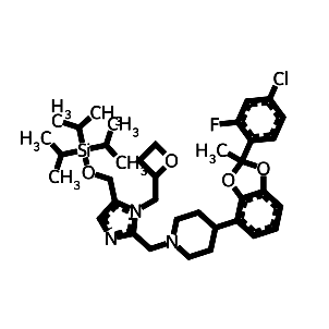 CC(C)[Si](OCc1cnc(CN2CCC(c3cccc4c3OC(C)(c3ccc(Cl)cc3F)O4)CC2)n1CC1CCO1)(C(C)C)C(C)C